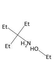 CCC(N)(CC)CC.CCO